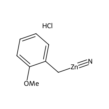 COc1ccccc1[CH2][Zn]#[N].Cl